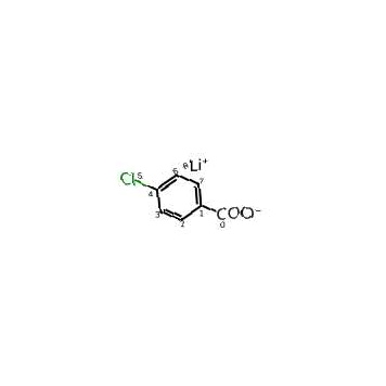 O=C([O-])c1ccc(Cl)cc1.[Li+]